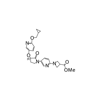 COC(=O)C1CN(c2ccc(N3CC[C@@H](Oc4ccc(OCC5CC5)nc4)C3=O)cn2)C1